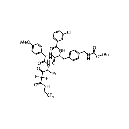 COc1ccc([C@H](NC(=O)[C@H](Cc2ccc(CNC(=O)OC(C)(C)C)cc2)NC(=O)c2cccc(Cl)c2)C(=O)N[C@H](C(=O)C(F)(F)C(=O)NCC(F)(F)F)C(C)C)cc1